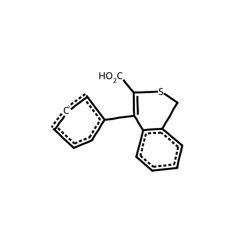 O=C(O)C1=C(c2ccccc2)c2ccccc2CS1